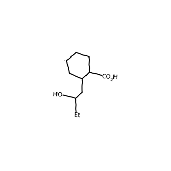 CCC(O)CC1C[CH]CCC1C(=O)O